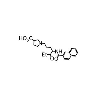 CCC(=O)C(CCCN1CCC(C(=O)O)C1)NC(=O)c1ccc2ccccc2c1